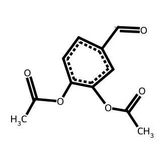 CC(=O)Oc1ccc([C]=O)cc1OC(C)=O